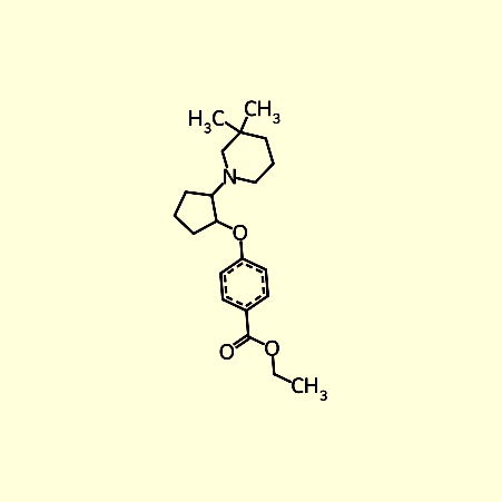 CCOC(=O)c1ccc(OC2CCCC2N2CCCC(C)(C)C2)cc1